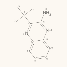 CC(C)(C)c1nc2ccccc2nc1N